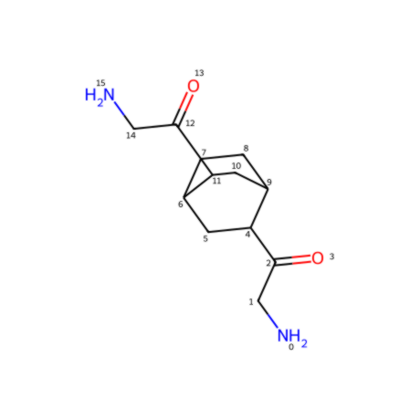 NCC(=O)C1CC2CCC1CC2C(=O)CN